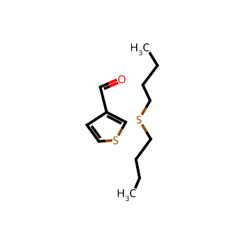 CCCCSCCCC.O=Cc1ccsc1